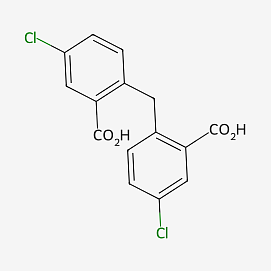 O=C(O)c1cc(Cl)ccc1Cc1ccc(Cl)cc1C(=O)O